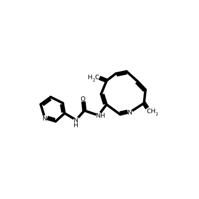 C=c1ccccc(=C)ncc(NC(=O)Nc2cccnc2)c1